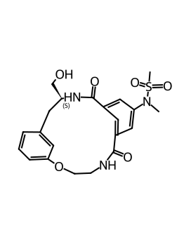 CN(c1cc2cc(c1)C(=O)N[C@H](CO)Cc1cccc(c1)OCCNC2=O)S(C)(=O)=O